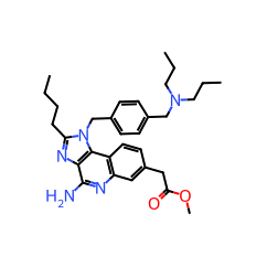 CCCCc1nc2c(N)nc3cc(CC(=O)OC)ccc3c2n1Cc1ccc(CN(CCC)CCC)cc1